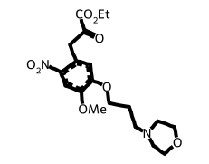 CCOC(=O)C(=O)Cc1cc(OCCCN2CCOCC2)c(OC)cc1[N+](=O)[O-]